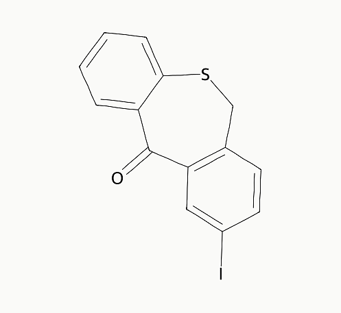 O=C1c2cc(I)ccc2CSc2ccccc21